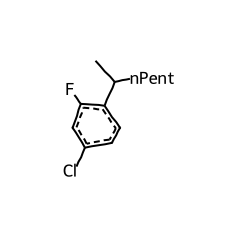 CCCCCC(C)c1ccc(Cl)cc1F